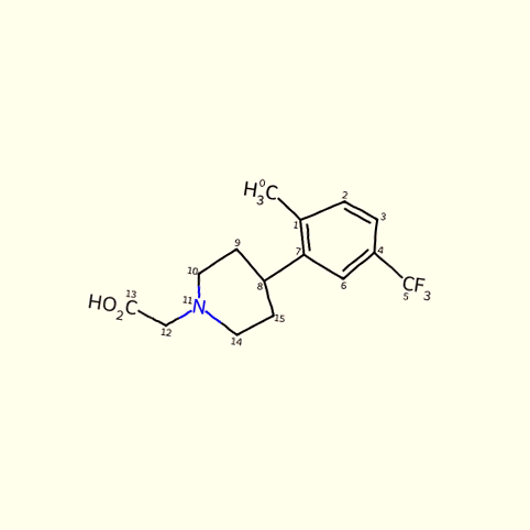 Cc1ccc(C(F)(F)F)cc1C1CCN(CC(=O)O)CC1